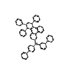 c1ccc(-c2ccc(N(c3cccc(-c4ccccc4)c3)c3ccc4c(c3)c3ccccc3c3c(-c5ccccc5)cc(-c5ccccc5)c(-c5ccccc5)c43)cc2)cc1